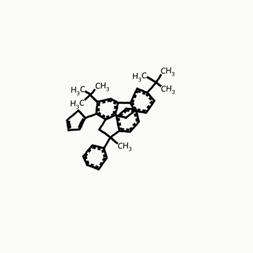 CC(C)(C)c1ccc2c(c1)-c1cc(C(C)(C)C)c(C3=CC=CC3)c(CC(C)(c3ccccc3)c3ccccc3)c1C2